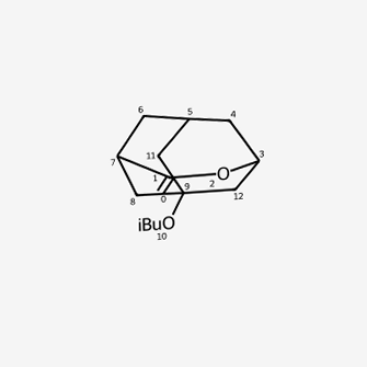 C=C1OC2CC3CC1CC(OCC(C)C)(C3)C2